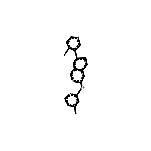 Cc1ccnc(Nc2cc3ccc(-c4cnccc4C)cc3cn2)c1